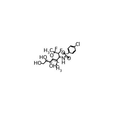 C[C@H]1[C@H]([C@H](O)[C@H](O)CO)OC(C)(F)C(F)[C@@H]1NS(=O)(=O)c1ccc(Cl)cc1